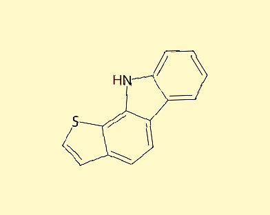 c1ccc2c(c1)[nH]c1c2ccc2ccsc21